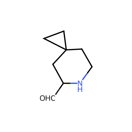 O=CC1CC2(CCN1)CC2